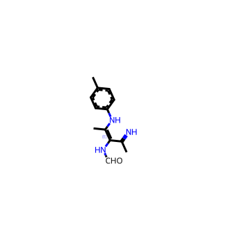 CC(=N)/C(NC=O)=C(/C)Nc1ccc(C)cc1